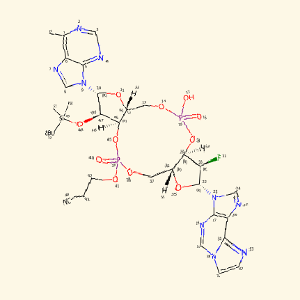 Cc1ncnc2c1ncn2[C@@H]1O[C@@H]2COP(=O)(O)O[C@H]3[C@@H](F)[C@H](n4cnc5c4ncn4ccnc54)O[C@@H]3COP(=O)(OCCC#N)O[C@H]2[C@H]1O[Si](C)(C)C(C)(C)C